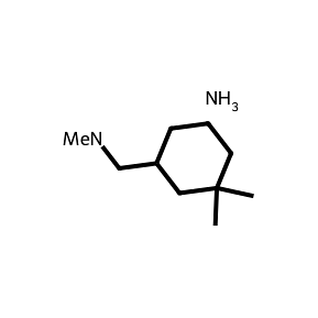 CNCC1CCCC(C)(C)C1.N